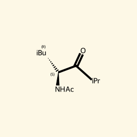 CC[C@@H](C)[C@H](NC(C)=O)C(=O)C(C)C